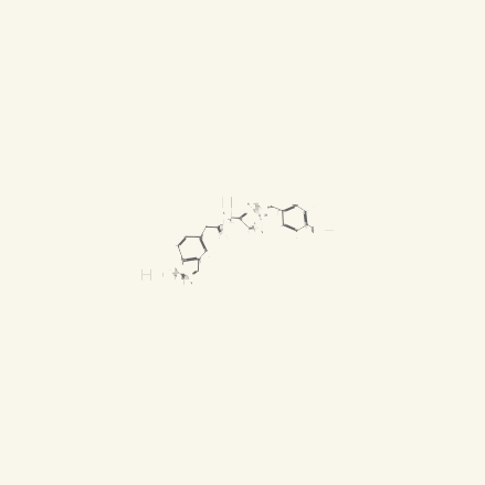 Cc1ccc(Cn2ncc(NC(=O)Cc3ccc4c(cnn4C)c3)n2)cc1